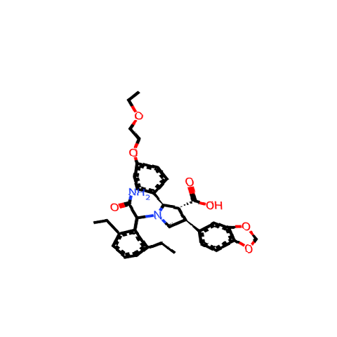 CCOCCOc1ccc([C@H]2[C@H](C(=O)O)[C@@H](c3ccc4c(c3)OCO4)CN2C(C(N)=O)c2c(CC)cccc2CC)cc1